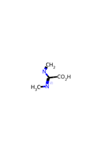 C=N/C(=N\C)C(=O)O